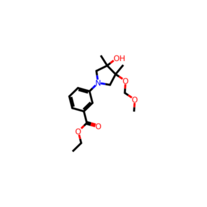 CCOC(=O)c1cccc(N2CC(C)(O)C(C)(OCOC)C2)c1